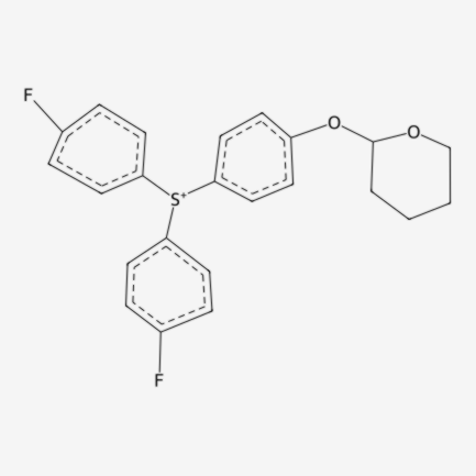 Fc1ccc([S+](c2ccc(F)cc2)c2ccc(OC3CCCCO3)cc2)cc1